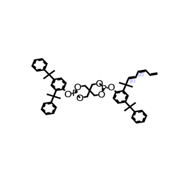 C=C/C=C\C=C\C(C)(C)c1cc(C(C)(C)c2ccccc2)ccc1OP1OCC2(CO1)COP(Oc1ccc(C(C)(C)c3ccccc3)cc1C(C)(C)c1ccccc1)OC2